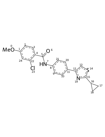 COc1ccc(C(=O)Nc2ccc(-c3csc(C4CC4)n3)cc2)c(Cl)c1